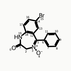 O=C1C[N+]([O-])=C(c2ccccc2)c2cc(Br)ccc2N1